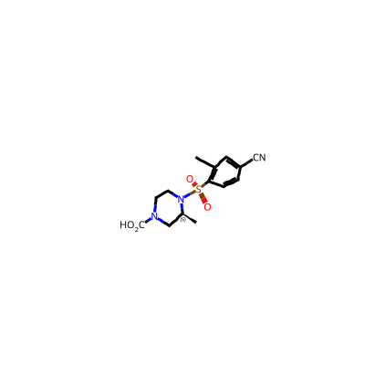 Cc1cc(C#N)ccc1S(=O)(=O)N1CCN(C(=O)O)C[C@@H]1C